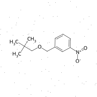 CC(C)(C)COCc1cccc([N+](=O)[O-])c1